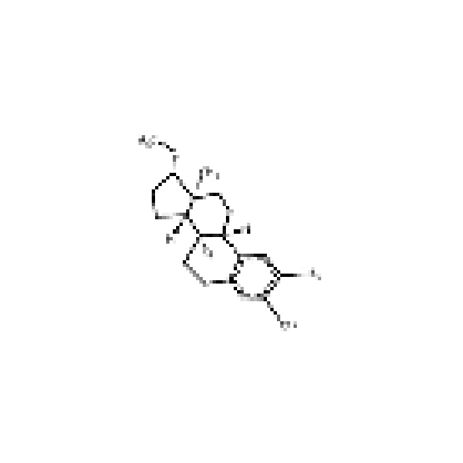 CC[C@H]1CC[C@H]2[C@@H]3CCc4cc(O)c(C)cc4[C@H]3CC[C@]12C